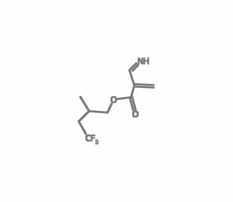 C=C(C=N)C(=O)OCC(C)CC(F)(F)F